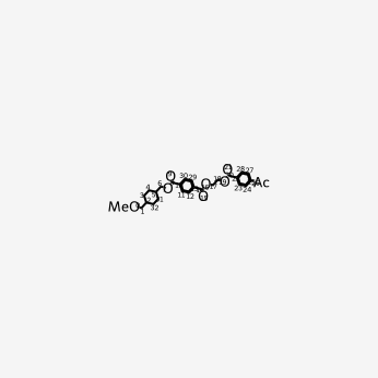 COCC1CCC(COC(=O)c2ccc(C(=O)OCCOC(=O)c3ccc(C(C)=O)cc3)cc2)CC1